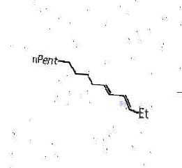 CC/[C]=C/C=CCCCCCCCCC